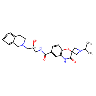 CC(C)N1CC2(C1)Oc1ccc(C(=O)NC[C@H](O)CN3CCc4ccccc4C3)cc1NC2=O